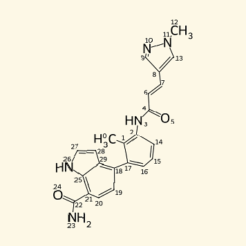 Cc1c(NC(=O)C=Cc2cnn(C)c2)cccc1-c1ccc(C(N)=O)c2[nH]ccc12